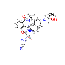 CC1(O)CN(c2cc(C3(NC(=O)c4ccccc4CNC(=O)C(=O)NCC#N)CC3)c3ccccc3c2)C1